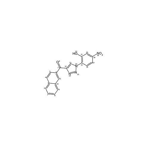 O=C(c1ccc2ccccc2c1)c1cn(-c2ccc([N+](=O)[O-])cc2O)nn1